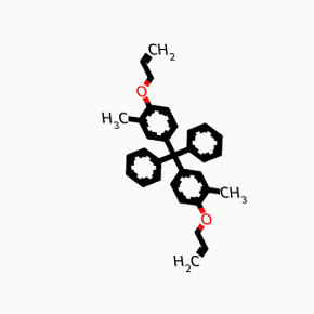 C=CCOc1ccc(C(c2ccccc2)(c2ccccc2)c2ccc(OCC=C)c(C)c2)cc1C